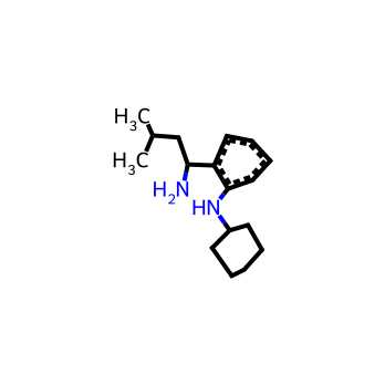 CC(C)CC(N)c1ccccc1NC1CCCCC1